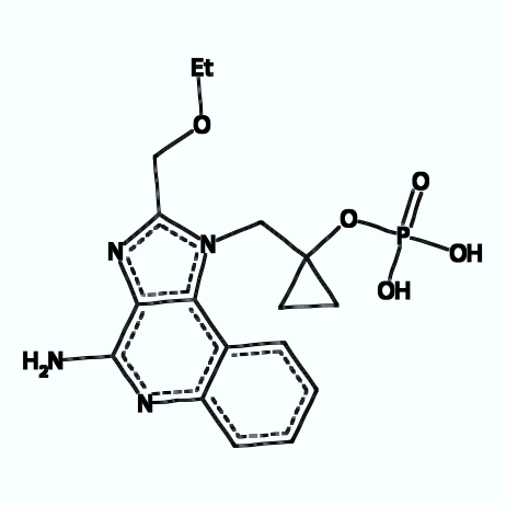 CCOCc1nc2c(N)nc3ccccc3c2n1CC1(OP(=O)(O)O)CC1